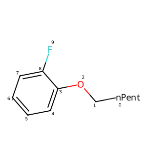 CCCCCCOc1cc[c]cc1F